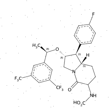 C[C@@H](O[C@H]1CN2C(=O)C(NC(=O)O)CC[C@H]2[C@@H]1c1ccc(F)cc1)c1cc(C(F)(F)F)cc(C(F)(F)F)c1